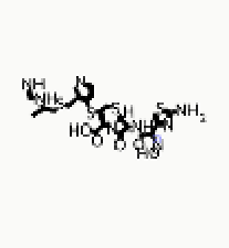 CC(CSCc1cnccc1SC1=C(C(=O)O)N2C(=O)[C@@H](NC(=O)/C(=N\O)c3csc(N)n3)[C@@H]2SC1)NC=N